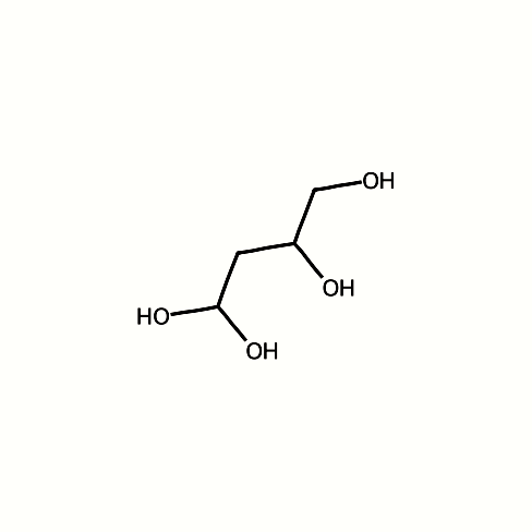 OCC(O)CC(O)O